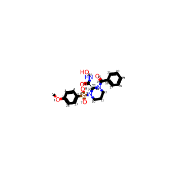 COc1ccc(S(=O)(=O)N2CCCN(C(=O)c3ccccc3)[C@H]2C(=O)NO)cc1